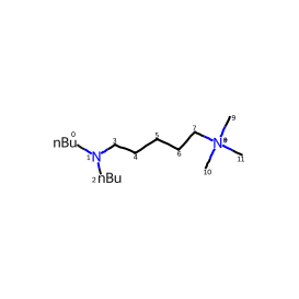 CCCCN(CCCC)CCCCC[N+](C)(C)C